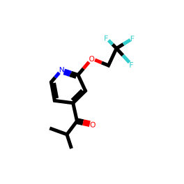 CC(C)C(=O)c1ccnc(OCC(F)(F)F)c1